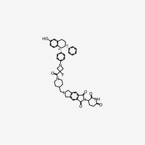 O=C1CCC(N2C(=O)c3cc4c(cc3C2=O)CN(CC2CCN(C(=O)C3(F)CN(c5ccc([C@@H]6c7ccc(O)cc7CC[C@@H]6c6ccccc6)cc5)C3)CC2)C4)C(=O)N1